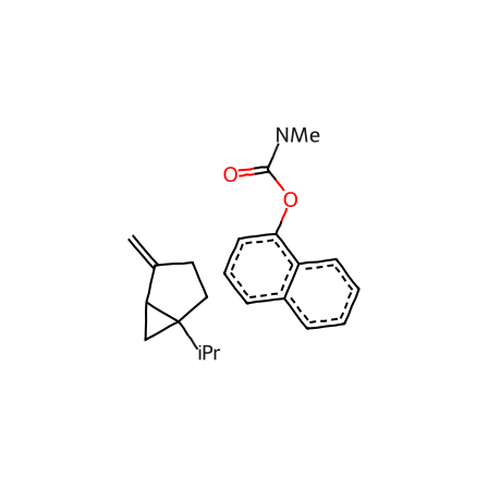 C=C1CCC2(C(C)C)CC12.CNC(=O)Oc1cccc2ccccc12